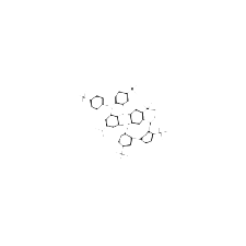 CC(C)c1cc2c3c(c1)N1c4cc5c(cc4B3c3cc(C(C)(C)C)ccc3N2c2ccc(C(C)(C)C)cc2)C(C)(C)CCC5(C)c2cc(ccc2C(C)(C)C)-c2cc(C(C)(C)C)ccc21